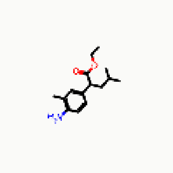 CCOC(=O)C(CC(C)C)c1ccc(N)c(C)c1